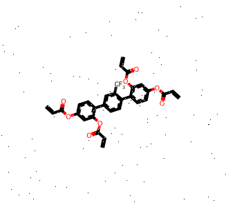 C=CC(=O)Oc1ccc(-c2ccc(-c3ccc(OC(=O)C=C)cc3OC(=O)C=C)c(C(F)(F)F)c2)c(OC(=O)C=C)c1